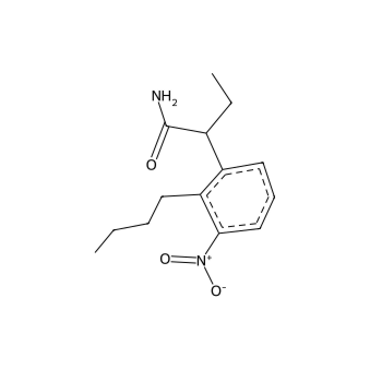 CCCCc1c(C(CC)C(N)=O)cccc1[N+](=O)[O-]